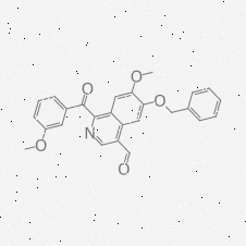 COc1cccc(C(=O)c2ncc(C=O)c3cc(OCc4ccccc4)c(OC)cc23)c1